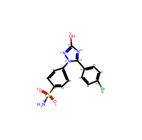 NS(=O)(=O)c1ccc(-n2nc(O)nc2-c2ccc(Br)cc2)cc1